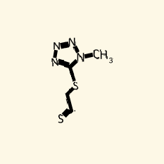 Cn1nnnc1SC[C]=S